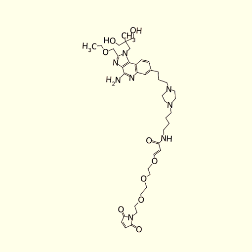 CCOCc1nc2c(N)nc3cc(CCCN4CCN(CCCCNC(=O)C=COCCOCCOCCN5C(=O)C=CC5=O)CC4)ccc3c2n1CC(C)(CO)CO